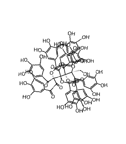 O=C(O[C@](C(=O)C(=O)c1cc(O)c(O)c(O)c1)(C(=O)c1cc(O)c(O)c(O)c1)[C@](OC(=O)c1cc(O)c(O)c(O)c1)(C(=O)c1cc(O)c(O)c(O)c1)[C@@](OC(=O)c1cc(O)c(O)c(O)c1)(C(=O)c1cc(O)c(O)c(O)c1)[C@@](CO)(OC(=O)c1cc(O)c(O)c(O)c1)C(=O)c1cc(O)c(O)c(O)c1)c1cc(O)c(O)c(O)c1